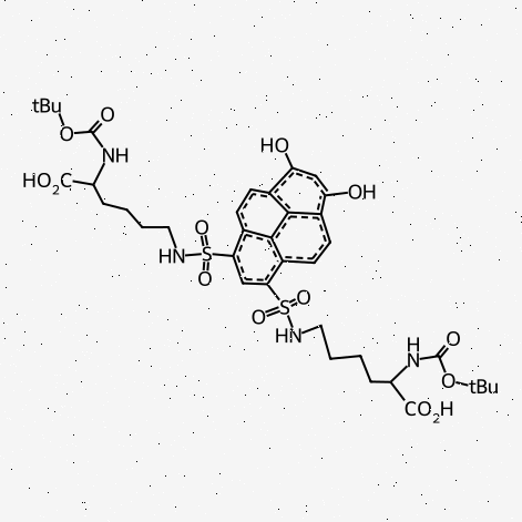 CC(C)(C)OC(=O)NC(CCCCNS(=O)(=O)c1cc(S(=O)(=O)NCCCCC(NC(=O)OC(C)(C)C)C(=O)O)c2ccc3c(O)cc(O)c4ccc1c2c43)C(=O)O